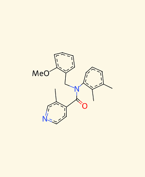 COc1ccccc1CN(C(=O)c1ccncc1C)c1cccc(C)c1C